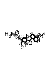 CCOc1nccc2c(C(=O)c3c(F)cc(CCOC(N)=O)c(CC)c3F)cccc12